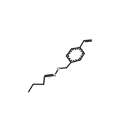 C=Cc1ccc(CO/N=[C]/CCC)cc1